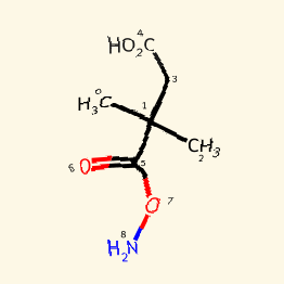 CC(C)(CC(=O)O)C(=O)ON